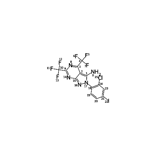 Nc1c2c(C(F)(F)F)nc(C(F)(F)F)nc2nn1-c1ccc(I)cc1Cl